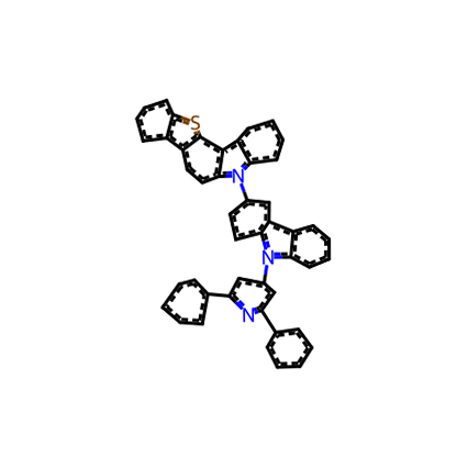 c1ccc(-c2cc(-n3c4ccccc4c4cc(-n5c6ccccc6c6c7sc8ccccc8c7ccc65)ccc43)cc(-c3ccccc3)n2)cc1